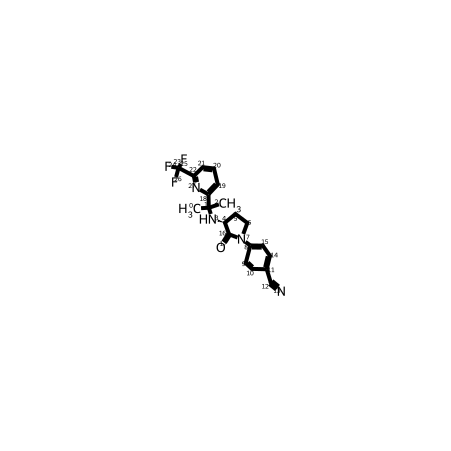 CC(C)(N[C@@H]1CCN(c2ccc(C#N)cc2)C1=O)c1cccc(C(F)(F)F)n1